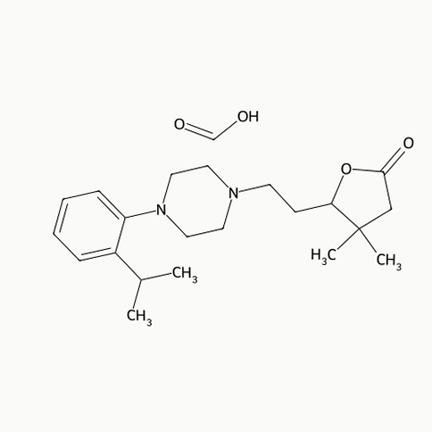 CC(C)c1ccccc1N1CCN(CCC2OC(=O)CC2(C)C)CC1.O=CO